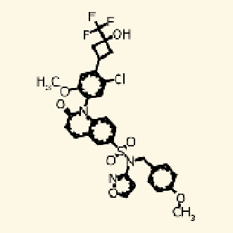 COc1ccc(CN(c2ccon2)S(=O)(=O)c2ccc3c(ccc(=O)n3-c3cc(Cl)c(C4CC(O)(C(F)(F)F)C4)cc3OC)c2)cc1